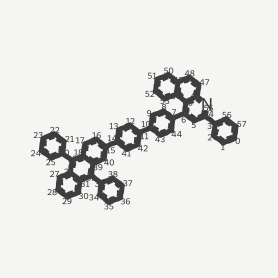 c1ccc(-c2cc(-c3ccc(-c4ccc(-c5ccc6c(-c7ccccc7)c7ccccc7c(-c7ccccc7)c6c5)cc4)cc3)c3c(ccc4ccccc43)n2)cc1